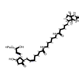 CCCCC[C@H](O)/C=C/[C@H]1[C@H](O)CC(=O)[C@@H]1C/C=C\CCCC(=O)NCCCCCNC(=O)CCCC[C@H]1SC[C@@H]2NC(=O)N[C@@H]21